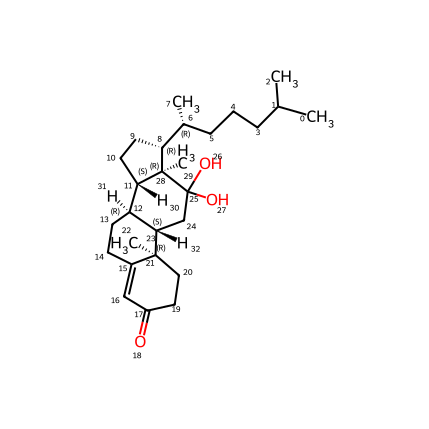 CC(C)CCC[C@@H](C)[C@H]1CC[C@H]2[C@@H]3CCC4=CC(=O)CC[C@]4(C)[C@H]3CC(O)(O)[C@]12C